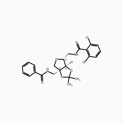 CC1(C)O[C@@H]2[C@@H](CNC(=O)c3c(Cl)cccc3Cl)OC[C@]2(CNC(=O)c2ccccc2)O1